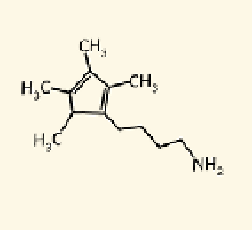 CC1=C(C)C(C)C(CCCCN)=C1C